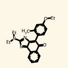 CCOc1ccc(C2=C3N=C(N(CC)CC)N=C3c3ccccc3C2=O)c(C)c1